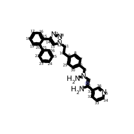 N/C(=C\N(N)Cc1ccc(CCn2cc(-c3ccccc3-c3ccccc3)nn2)cc1)c1cccnc1